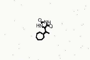 CC(C1CCCCCC1)C1NC(=O)NC1=O